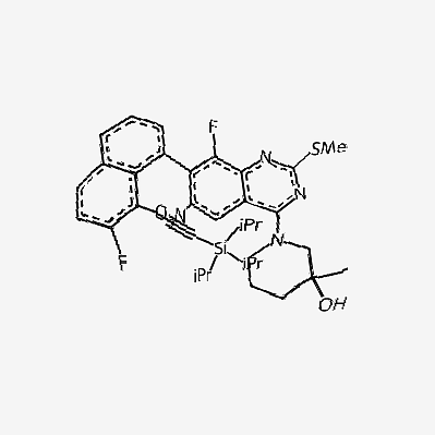 CSc1nc(N2CCCC(C)(O)C2)c2cc([N+](=O)[O-])c(-c3cccc4ccc(F)c(C#C[Si](C(C)C)(C(C)C)C(C)C)c34)c(F)c2n1